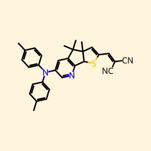 Cc1ccc(N(c2ccc(C)cc2)c2cnc3c(c2)C(C)(C)C2(C)C=C(C=C(C#N)C#N)SC32)cc1